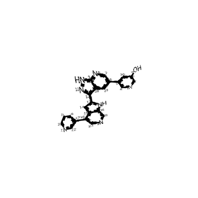 Oc1cncc(-c2cnc3[nH]nc(-c4cc5c(-c6cccnc6)cncc5[nH]4)c3c2)c1